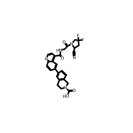 N#CC1CC(F)(F)CN1C(=O)CNC(=O)c1ccnc2ccc(-c3ccc4c(c3)CCN(C(=O)O)C4)cc12